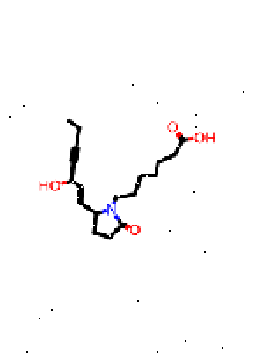 CCC#CC(O)C=CC1CCC(=O)N1CCCCCCC(=O)O